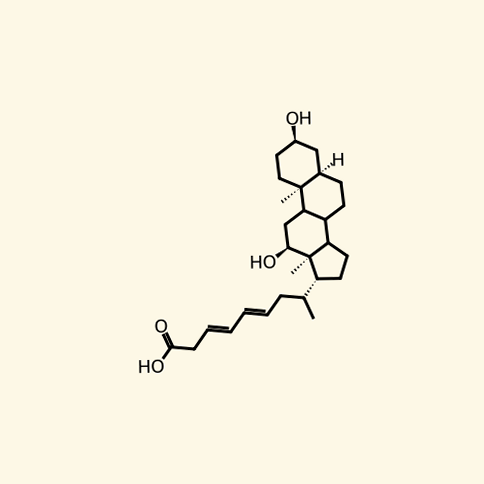 CC(CC=CC=CCC(=O)O)[C@H]1CCC2C3CC[C@@H]4C[C@H](O)CC[C@]4(C)C3C[C@H](O)[C@@]21C